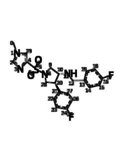 Cn1cnc(S(=O)(=O)N2C[C@H](NCc3ccc(F)cc3)[C@@H](c3ccc(F)cc3)C2)c1